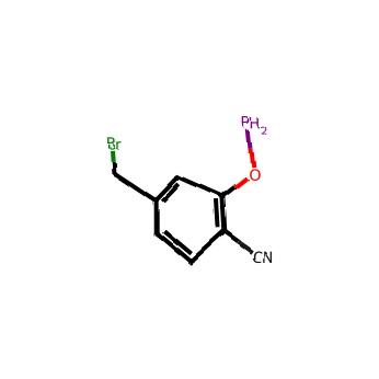 N#Cc1ccc(CBr)cc1OP